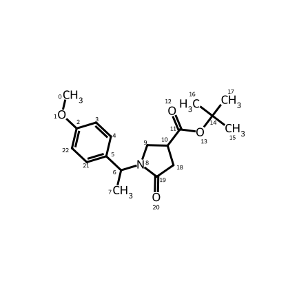 COc1ccc(C(C)N2CC(C(=O)OC(C)(C)C)CC2=O)cc1